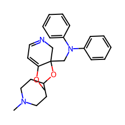 COC1=CC=NCC1(CN(c1ccccc1)c1ccccc1)OC1CCN(C)CC1